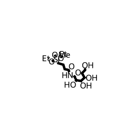 CCO[Si](CCCC(=O)N[C@@H]1OC(CO)[C@@H](O)[C@H](O)C1O)(OC)OCC